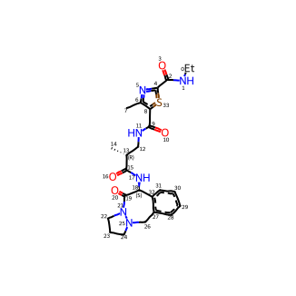 CCNC(=O)c1nc(C)c(C(=O)NC[C@@H](C)C(=O)N[C@@H]2C(=O)N3CCCN3Cc3ccccc32)s1